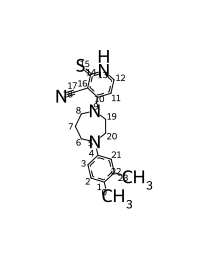 Cc1ccc(N2CCCN(c3cc[nH]c(=S)c3C#N)CC2)cc1C